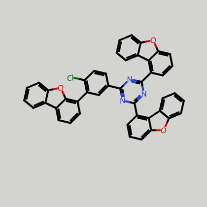 Clc1ccc(-c2nc(-c3cccc4oc5ccccc5c34)nc(-c3cccc4oc5ccccc5c34)n2)cc1-c1cccc2c1oc1ccccc12